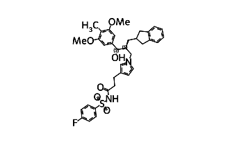 COc1cc([C@@H](O)[C@@H](CC2Cc3ccccc3C2)Cn2ccc(CCC(=O)NS(=O)(=O)c3ccc(F)cc3)c2)cc(OC)c1C